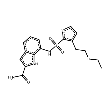 CCOCCc1ccsc1S(=O)(=O)Nc1cccc2cc(C(N)=O)[nH]c12